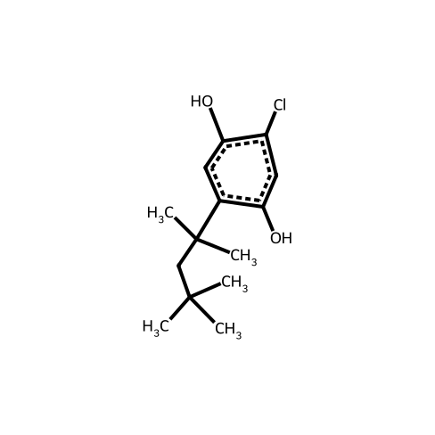 CC(C)(C)CC(C)(C)c1cc(O)c(Cl)cc1O